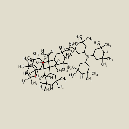 CC1(C)CC(B(C2CC(C)(C)NC(C)(C)C2)C2CC(C)(C)NC(C)(C)C2)CC(C)(C)N1.CC1(C)CC(C(C(=O)O)(C(=O)O)C(C(=O)O)(C2CC(C)(C)NC(C)(C)C2)C(C(=O)O)(C2CC(C)(C)NC(C)(C)C2)C2CC(C)(C)NC(C)(C)C2)CC(C)(C)N1